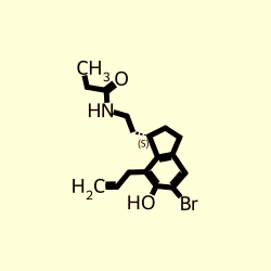 C=CCc1c(O)c(Br)cc2c1[C@H](CCNC(=O)CC)CC2